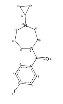 O=C(c1ccc(I)cc1)N1CCCN(C2CC2)CC1